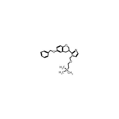 C[Si](C)(C)CCOCn1ccnc1C1COc2ccc(OCc3ccccc3)cc2C1